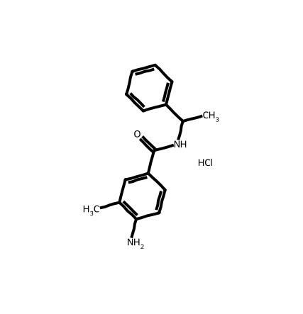 Cc1cc(C(=O)NC(C)c2ccccc2)ccc1N.Cl